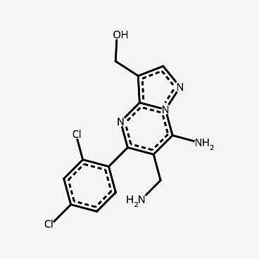 NCc1c(-c2ccc(Cl)cc2Cl)nc2c(CO)cnn2c1N